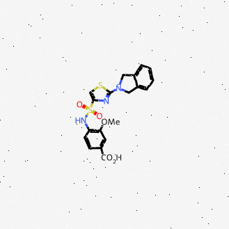 COc1cc(C(=O)O)ccc1NS(=O)(=O)c1csc(N2Cc3ccccc3C2)n1